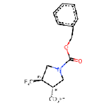 CCOC(=O)[C@H]1CN(C(=O)OCc2ccccc2)C[C@@H]1C(F)(F)F